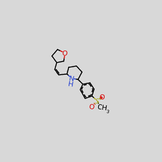 CS(=O)(=O)c1ccc(C2CCCC(/C=C\C3CCOC3)N2)cc1